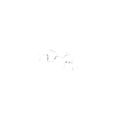 Cc1onc(-c2ccc3c(c2)OCO3)c1C(=O)O